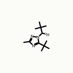 [2H]C(n1nc(C)nc1C(C)(C)C)C(C)(C)C